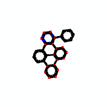 c1ccc(-c2cccc(-c3nccnc3-c3ccccc3)c2-c2c(-c3ccccc3)cccc2-c2nccnc2-c2ccccc2)cc1